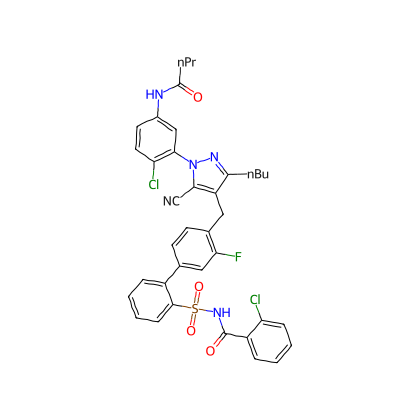 CCCCc1nn(-c2cc(NC(=O)CCC)ccc2Cl)c(C#N)c1Cc1ccc(-c2ccccc2S(=O)(=O)NC(=O)c2ccccc2Cl)cc1F